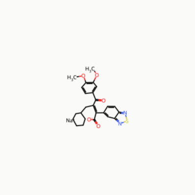 COc1ccc(C(=O)/C(CC2CCCCC2)=C(/C(=O)[O-])c2ccc3nsnc3c2)cc1OC.[Na+]